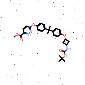 COC(=O)c1ccc(Oc2ccc(C(C)(C)c3ccc(O[C@H]4C[C@H](NC(=O)OC(C)(C)C)C4)cc3)cc2)nn1